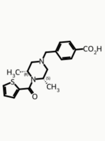 C[C@@H]1CN(Cc2ccc(C(=O)O)cc2)C[C@H](C)N1C(=O)c1cccs1